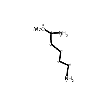 COC(N)CCCCN